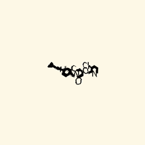 Cc1cc(OCc2ncccc2Cl)cc(=O)n1Cc1ccc(C#CC2CC2)cc1